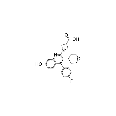 O=C(O)C1CN(c2nc3cc(O)ccc3c(-c3ccc(F)cc3)c2C2CCOCC2)C1